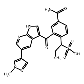 CCC(c1ccc(C(N)=O)cc1C(=O)c1c[nH]c2ncc(-c3cnn(C)c3)cc12)S(=O)(=O)O